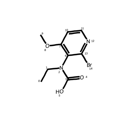 CCN(C(=O)O)c1c(OC)ccnc1Br